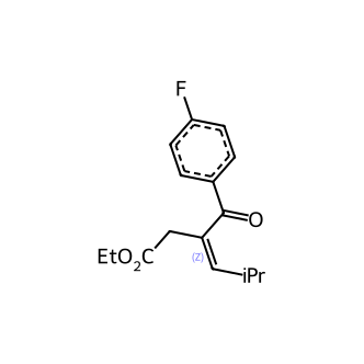 CCOC(=O)C/C(=C/C(C)C)C(=O)c1ccc(F)cc1